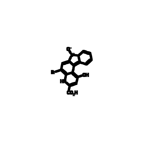 O=C(O)C1=CC(O)=c2c(c(Br)cc3c2=C2C=CC=CC2[S+]3[O-])N1